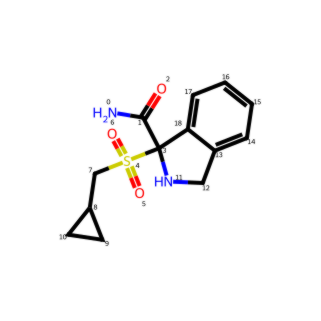 NC(=O)C1(S(=O)(=O)CC2CC2)NCc2ccccc21